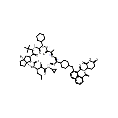 C=N/C(=C\N=C(/C)C(=O)N[C@H](C(=O)N[C@H](C(=O)N1C[C@@H]2CCC[C@@H]2[C@H]1C(=O)N[C@H](CCC)C(=O)C(=O)NC1CC1)C(C)(C)C)C1CCCCC1)C1CCC(Cc2ccc3cccc4c3c2C(=O)N(C2CCC(=O)NC2=O)C4=O)CC1